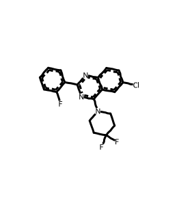 Fc1ccccc1-c1nc(N2CCC(F)(F)CC2)c2cc(Cl)ccc2n1